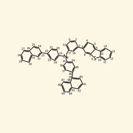 c1cc(-c2ccc3c(c2)sc2ccccc23)cc(N(c2ccc(-c3ccc4ccccc4c3)cc2)c2ccc(-c3cccc4ccccc34)cc2)c1